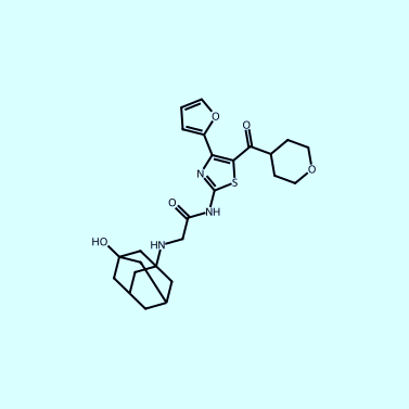 O=C(CNC12CC3CC(CC(O)(C3)C1)C2)Nc1nc(-c2ccco2)c(C(=O)C2CCOCC2)s1